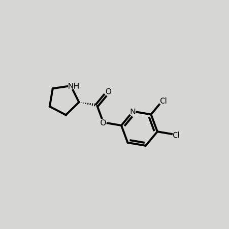 O=C(Oc1ccc(Cl)c(Cl)n1)[C@@H]1CCCN1